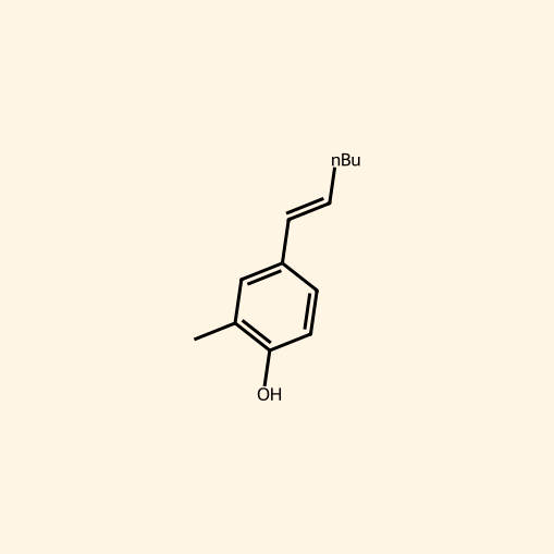 CCCCC=Cc1ccc(O)c(C)c1